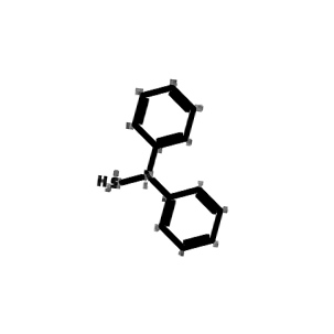 [SiH3]N(c1ccccc1)c1ccccc1